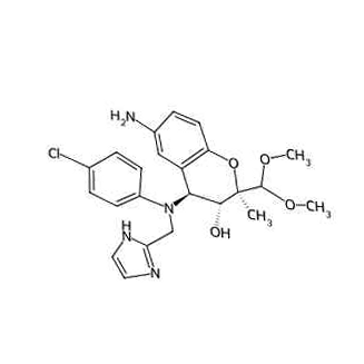 COC(OC)[C@]1(C)Oc2ccc(N)cc2[C@H](N(Cc2ncc[nH]2)c2ccc(Cl)cc2)[C@H]1O